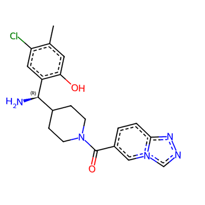 Cc1cc(O)c([C@H](N)C2CCN(C(=O)c3ccc4nncn4c3)CC2)cc1Cl